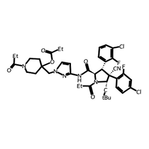 CCC(=O)OC1(Cn2ccc(NC(=O)[C@H]3[C@H](c4cccc(Cl)c4F)[C@@](C#N)(c4ccc(Cl)cc4F)[C@H](CC(C)(C)C)N3C(=O)CC)n2)CCN(C(=O)CC)CC1